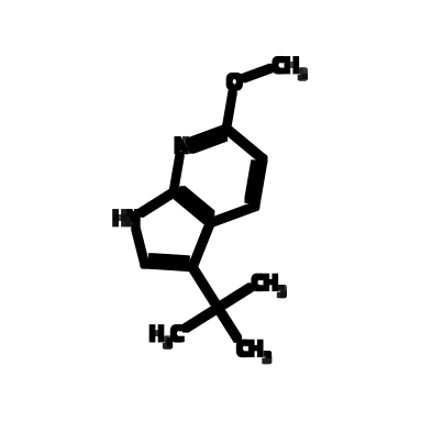 COc1ccc2c(C(C)(C)C)c[nH]c2n1